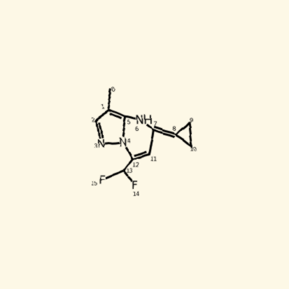 Cc1cnn2c1NC(=C1CC1)C=C2C(F)F